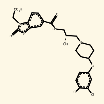 O=C(O)Cn1c(=O)sc2cc(C(=O)NC[C@@H](O)CN3CCC(Oc4ccc(Cl)c(Cl)c4)CC3)ccc21